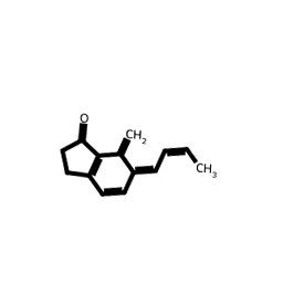 C=c1c2c(cc/c1=C/C=C\C)CCC2=O